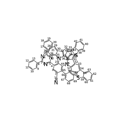 N#Cc1cc(-c2nc(-c3ccccc3)nc(-c3ccccc3)n2)c(-n2c3ccccc3c3cc4c(cc32)sc2ccccc24)c(-n2c3ccccc3c3cc4c(cc32)sc2ccccc24)c1-c1ccccc1